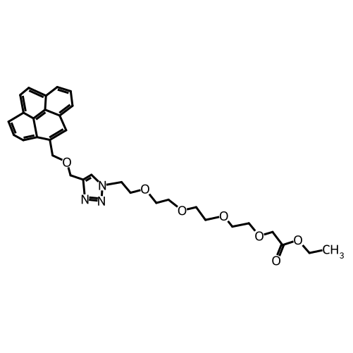 CCOC(=O)COCCOCCOCCOCCn1cc(COCc2cc3cccc4ccc5cccc2c5c43)nn1